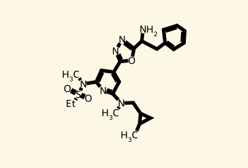 CCS(=O)(=O)N(C)c1cc(-c2nnc(C(N)Cc3ccccc3)o2)cc(N(C)CC2CC2C)n1